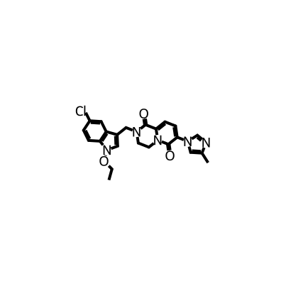 CCOn1cc(CN2CCn3c(ccc(-n4cnc(C)c4)c3=O)C2=O)c2cc(Cl)ccc21